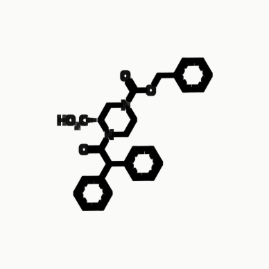 O=C(O)[C@@H]1CN(C(=O)OCc2ccccc2)CCN1C(=O)C(c1ccccc1)c1ccccc1